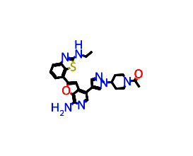 CCNc1nc2cccc(-c3cc4c(-c5cnn(C6CCN(C(C)=O)CC6)c5)cnc(N)c4o3)c2s1